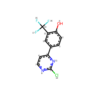 Oc1ccc(-c2ccnc(Cl)n2)cc1C(F)(F)F